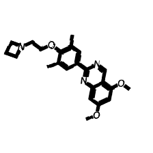 COc1cc(OC)c2cnc(-c3cc(C)c(OCCN4CCC4)c(C)c3)nc2c1